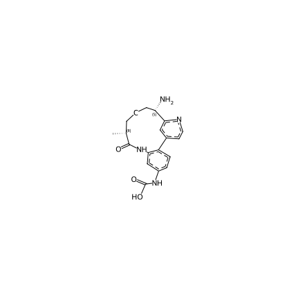 C[C@@H]1CCC[C@H](N)c2cc(ccn2)-c2ccc(NC(=O)O)cc2NC1=O